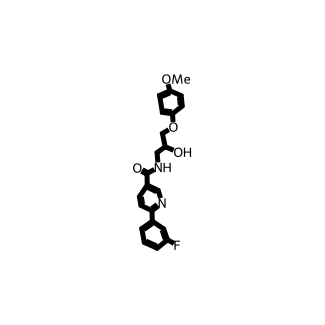 COc1ccc(OCC(O)CNC(=O)c2ccc(-c3cccc(F)c3)nc2)cc1